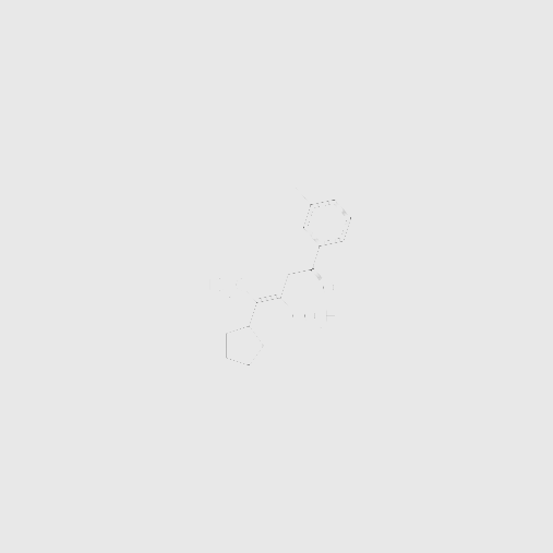 Cc1cccc(C(=O)C/C(C(=O)O)=C(\C(=O)O)C2CCCC2)c1